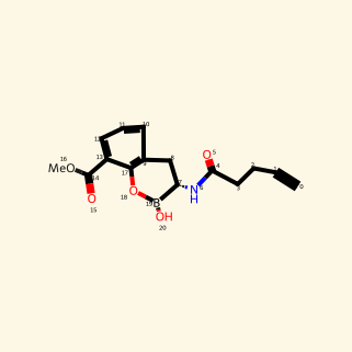 C#CCCC(=O)N[C@H]1Cc2cccc(C(=O)OC)c2OB1O